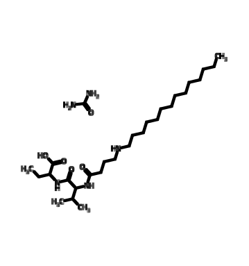 CCCCCCCCCCCCCCNCCCC(=O)NC(C(=O)NC(CC)C(=O)O)C(C)C.NC(N)=O